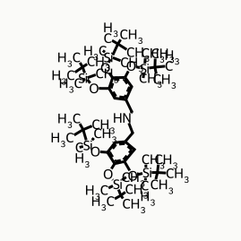 CC(C)(C)[Si](C)(C)Oc1cc(CNCc2cc(O[Si](C)(C)C(C)(C)C)c(O[Si](C)(C)C(C)(C)C)c(O[Si](C)(C)C(C)(C)C)c2)cc(O[Si](C)(C)C(C)(C)C)c1O[Si](C)(C)C(C)(C)C